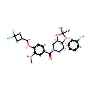 [2H]C1([2H])OC2CN(C(=O)c3ccc(OCC4CC(F)(F)C4)c(OC)c3)CC[C@]2(c2cccc(F)c2)O1